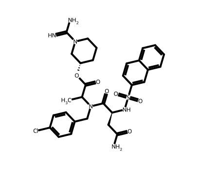 CC(C(=O)O[C@H]1CCCN(C(=N)N)C1)N(Cc1ccc(Cl)cc1)C(=O)[C@H](CC(N)=O)NS(=O)(=O)c1ccc2ccccc2c1